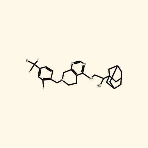 OC(CNc1ncnc2c1CCN(Cc1ccc(C(F)(F)F)cc1F)C2)C12CC3CC(CC(C3)C1)C2